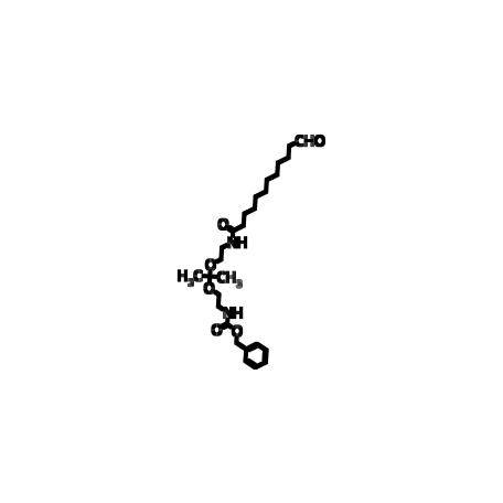 CC(C)(OCCNC(=O)CCCCCCCCCCC=O)OCCNC(=O)OCc1ccccc1